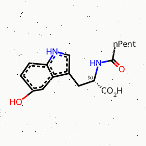 CCCCCC(=O)N[C@@H](Cc1c[nH]c2ccc(O)cc12)C(=O)O